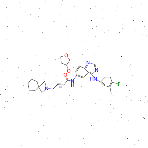 Cc1cc(Nc2ncnc3cc(OC4CCOC4)c(NC(=O)/C=C/CN4CC5(CCCCC5)C4)cc23)ccc1F